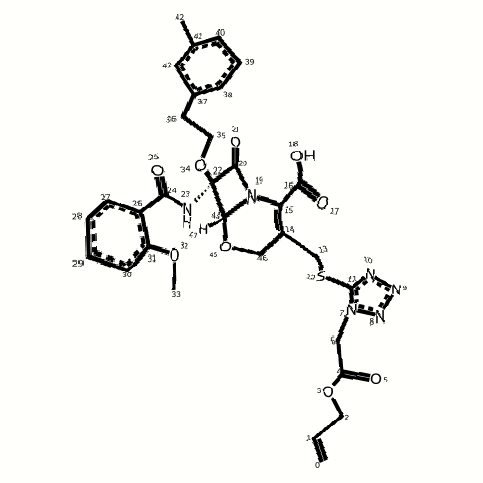 C=CCOC(=O)Cn1nnnc1SCC1=C(C(=O)O)N2C(=O)[C@](NC(=O)c3ccccc3OC)(OCCc3cccc(C)c3)[C@H]2OC1